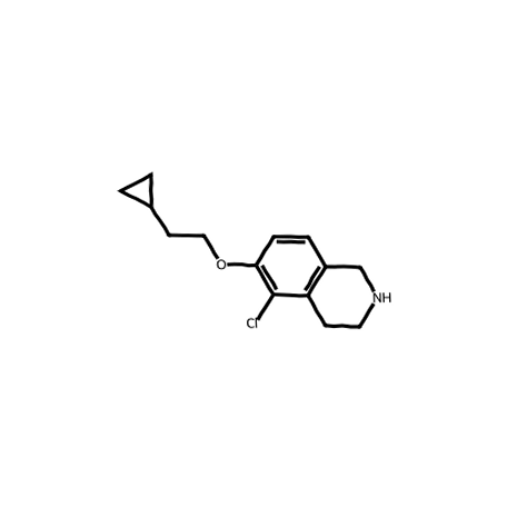 Clc1c(OCCC2CC2)ccc2c1CCNC2